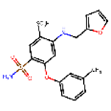 Cc1cccc(Oc2cc(NCc3ccco3)c(S(=O)(=O)O)cc2S(N)(=O)=O)c1